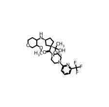 COC1COCCC1N[C@H]1CC[C@@](C(=O)N2CCN(c3cccc(C(F)(F)F)n3)CC2)(C(C)(C)O)C1